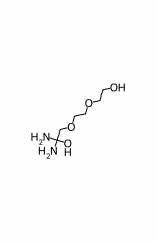 NC(N)(O)COCCOCCO